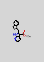 CC(C)(C)OC(=O)c1c(CC2CCc3ccccc32)[nH]c2ncccc12